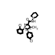 C[C@@H]1C(C(=O)NN2CCCCC2)=NN(c2ccccc2Cl)[C@@H]1c1ccc(Cl)cc1